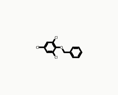 Clc1cc(Cl)c(O[CH]c2ccccc2)c(Cl)c1